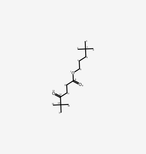 CC(C)(C)CCCOC(=O)CCC(=O)C(C)(C)C